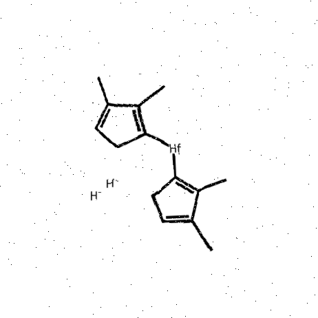 CC1=CC[C]([Hf][C]2=C(C)C(C)=CC2)=C1C.[H-].[H-]